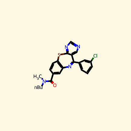 CCCCN(C)C(=O)c1ccc2c(c1)N=C(c1cccc(Cl)c1)c1cncnc1S2